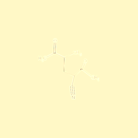 CC(=O)C(C)CC(C#N)C(C)=O